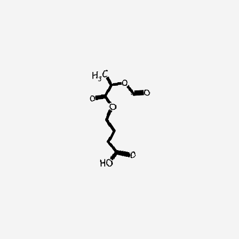 CC(O[C]=O)C(=O)OCCCC(=O)O